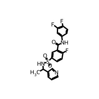 CC(NS(=O)(=O)c1ccc(F)c(C(=O)Nc2ccc(F)c(F)c2)c1)c1cccnc1